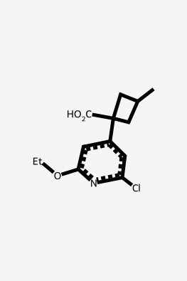 CCOc1cc(C2(C(=O)O)CC(C)C2)cc(Cl)n1